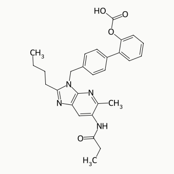 CCCCc1nc2cc(NC(=O)CC)c(C)nc2n1Cc1ccc(-c2ccccc2OC(=O)O)cc1